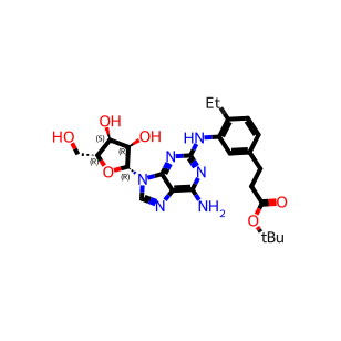 CCc1ccc(CCC(=O)OC(C)(C)C)cc1Nc1nc(N)c2ncn([C@@H]3O[C@H](CO)[C@@H](O)[C@H]3O)c2n1